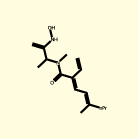 C=C/C(=C\C=C(/C)CCC)C(=O)N(C)C(C)C(=C)NO